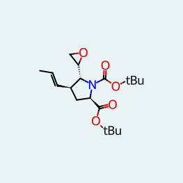 CC=C[C@@H]1C[C@H](C(=O)OC(C)(C)C)N(C(=O)OC(C)(C)C)[C@H]1C1CO1